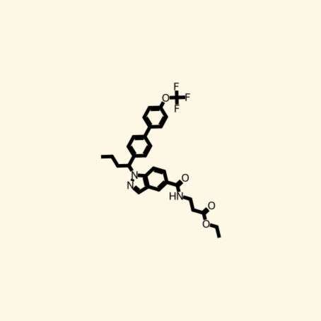 CCCC(c1ccc(-c2ccc(OC(F)(F)F)cc2)cc1)n1ncc2cc(C(=O)NCCC(=O)OCC)ccc21